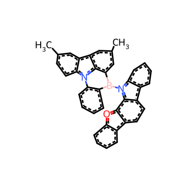 Cc1ccc2c(c1)c1cc(C)cc3c1n2-c1ccccc1B3n1c2ccccc2c2ccc3c4ccccc4oc3c21